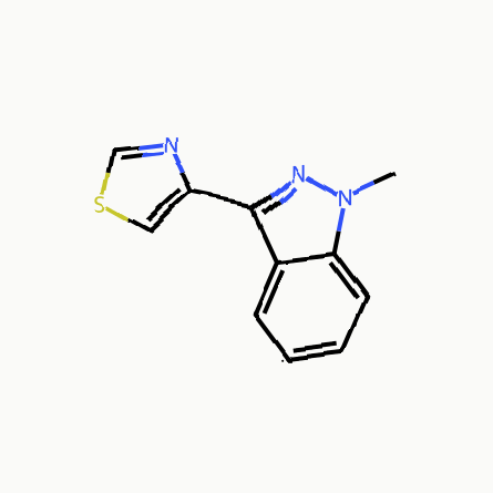 Cn1nc(-c2cscn2)c2c[c]ccc21